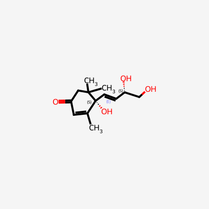 CC1=CC(=O)CC(C)(C)[C@@]1(O)/C=C/[C@H](O)CO